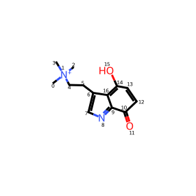 C[N+](C)(C)CCC1=CN=C2C(=O)C=CC(O)=C12